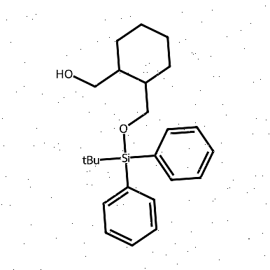 CC(C)(C)[Si](OCC1CCCCC1CO)(c1ccccc1)c1ccccc1